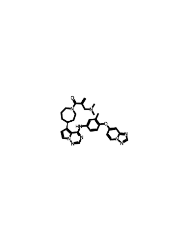 C=C(CN(C)C)C(=O)N1CCC[C@H](c2ccn3ncnc(Nc4ccc(Oc5ccn6ncnc6c5)c(C)c4)c23)CC1